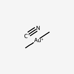 [C-]#N.[CH3][Au+][CH3]